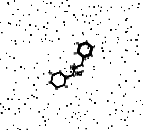 Cl.c1ccc(CNCN2CCCCC2)cc1